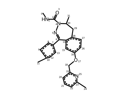 CNC(=O)N1N=C(c2ccc(C)cc2)c2cc(OCc3cccc(C)n3)ccc2CC1C